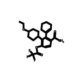 CCON1CCC(c2c(OC(=O)C(F)(F)F)ccc(C(N)=O)c2C2=CCCCC2)CC1